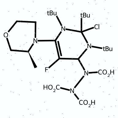 C[C@H]1COCCN1C1=C(F)C(N(C(=O)O)N(C(=O)O)C(=O)O)N(C(C)(C)C)C(Cl)(C(C)(C)C)N1C(C)(C)C